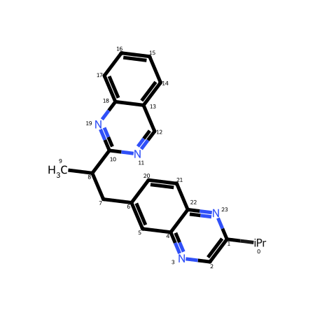 CC(C)c1cnc2cc(CC(C)c3ncc4ccccc4n3)ccc2n1